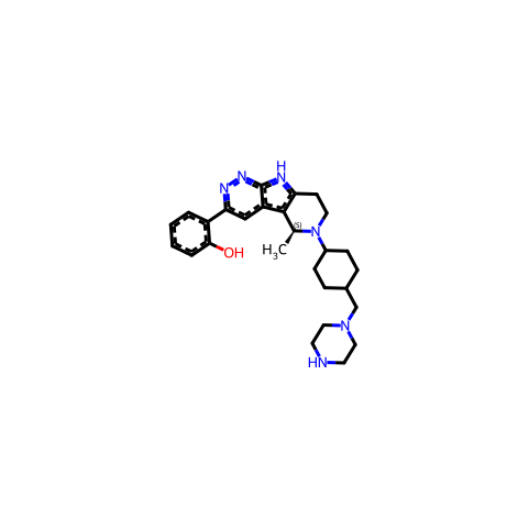 C[C@H]1c2c([nH]c3nnc(-c4ccccc4O)cc23)CCN1C1CCC(CN2CCNCC2)CC1